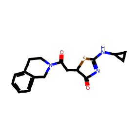 O=C1N=C(NC2CC2)SC1CC(=O)N1CCc2ccccc2C1